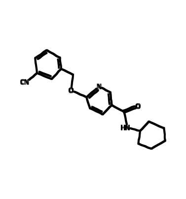 [C-]#[N+]c1cccc(COc2ccc(C(=O)NC3CCCCC3)cn2)c1